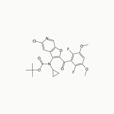 COc1cc(OC)c(F)c(C(=O)c2oc3cnc(Cl)cc3c2N(C(=O)OC(C)(C)C)C2CC2)c1F